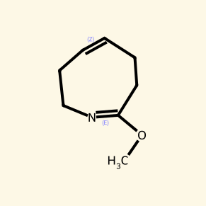 CO/C1=N/CC/C=C\CC1